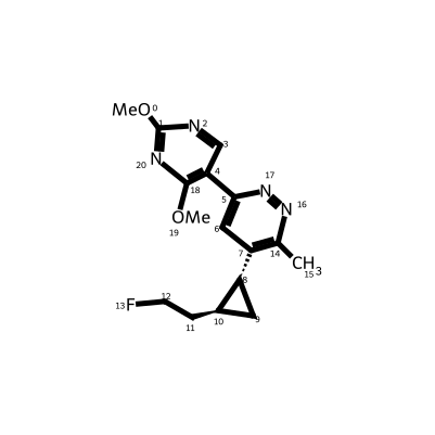 COc1ncc(-c2cc([C@@H]3C[C@H]3CCF)c(C)nn2)c(OC)n1